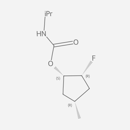 CC(C)NC(=O)O[C@H]1C[C@@H](C)C[C@H]1F